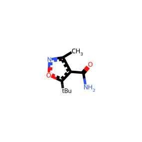 Cc1noc(C(C)(C)C)c1C(N)=O